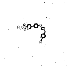 CS(=O)(=O)c1ccc(-c2ccc(OC3CN(Cc4ccc(C#N)cc4)C3)cc2)cn1